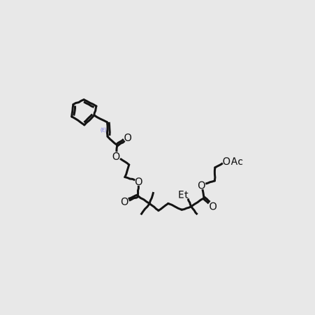 CCC(C)(CCCC(C)(C)C(=O)OCCOC(=O)/C=C/c1ccccc1)C(=O)OCCOC(C)=O